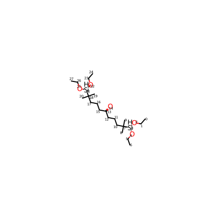 CCO[SiH](OCC)C(C)(C)CCCC(=O)CCCC(C)(C)[SiH](OCC)OCC